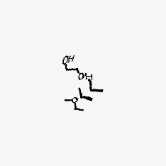 C=CC.C=CC.CCOC.OCCO